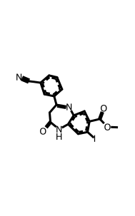 COC(=O)c1cc2c(cc1I)NC(=O)CC(c1cccc(C#N)c1)=N2